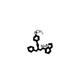 COc1ccc(C#CC(Cc2ccccc2)CC(N)c2cccc3cccnc23)cc1